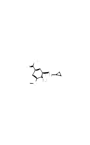 COC1=CC(C(=O)O)=C/C(=C/NC2CC2)C1=N